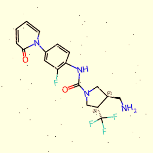 NC[C@@H]1CN(C(=O)Nc2ccc(-n3ccccc3=O)cc2F)C[C@H]1C(F)(F)F